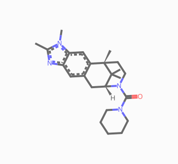 Cc1nc2cc3c(cc2n1C)[C@]1(C)CCN(C(=O)N2CCCCC2)[C@H](C3)C1(C)C